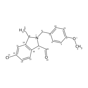 COc1ccc(CN2C(C)c3cc(Cl)ccc3C2C=O)cc1